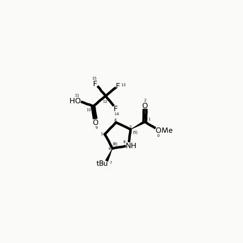 COC(=O)[C@@H]1CC[C@H](C(C)(C)C)N1.O=C(O)C(F)(F)F